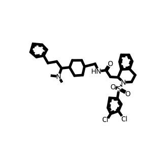 CN(C)C(CCc1ccccc1)C1CCC(CNC(=O)CC2c3ccccc3CCN2S(=O)(=O)c2ccc(Cl)c(Cl)c2)CC1